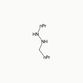 CCCCNNCCC